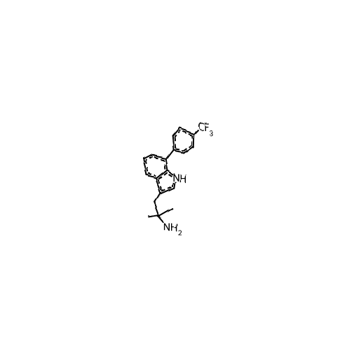 CC(C)(N)Cc1c[nH]c2c(-c3ccc(C(F)(F)F)cc3)cccc12